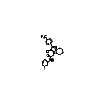 CC1C=CC=C(NC(=O)CN2C(=O)C(c3ccc(C(F)(F)F)cc3)=NC23CCCCC3)C1